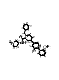 CCOc1ccccc1-c1ncc(C2CCN(Cc3ccccc3)C(C(=O)N[C@H]3CCN(C)C3)C2)cc1F